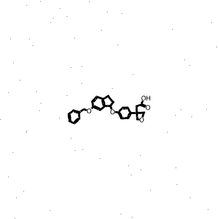 O=C(O)CC1(c2ccc(OC3CCc4ccc(OCc5ccccc5)cc43)cc2)COC1